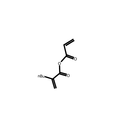 C=CC(=O)OC(=O)C(=C)CCCC